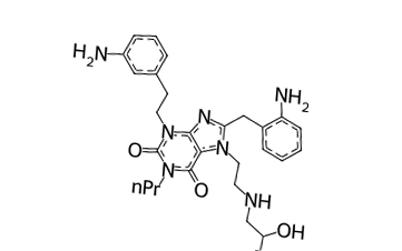 CCCn1c(=O)c2c(nc(Cc3ccccc3N)n2CCNCC(O)CC)n(CCc2cccc(N)c2)c1=O